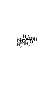 C=C1N=C(N)C(CSCCC(N)C(=O)O)N1